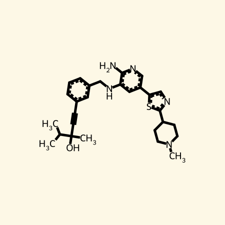 CC(C)C(C)(O)C#Cc1cccc(CNc2cc(-c3cnc(C4CCN(C)CC4)s3)cnc2N)c1